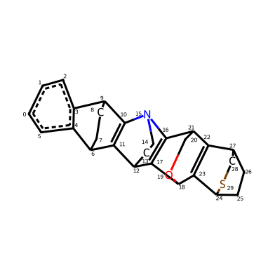 c1ccc2c(c1)C1CCC2C2=C1C1CCN2C2=C1C1OCC2C2=C1C1CCC2CS1